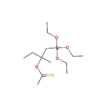 CCO[Si](CC(C)(CC)OC(C)=S)(OCC)OCC